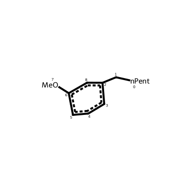 CCCCCCc1cccc(OC)c1